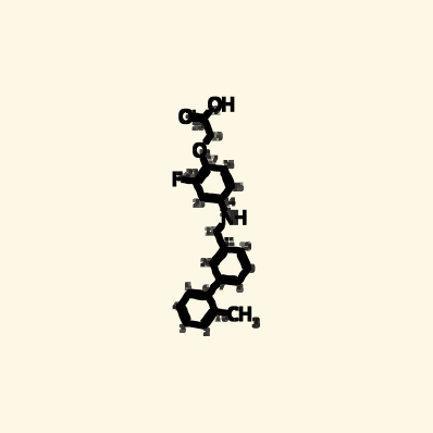 Cc1ccccc1-c1cccc(CNc2ccc(OCC(=O)O)c(F)c2)c1